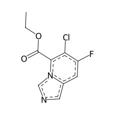 CCOC(=O)c1c(Cl)c(F)cc2cncn12